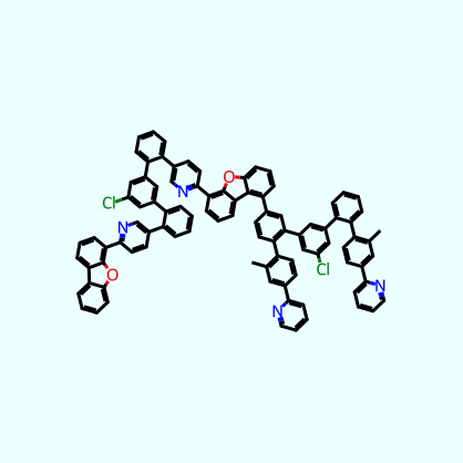 Cc1cc(-c2ccccn2)ccc1-c1ccccc1-c1cc(Cl)cc(-c2cc(-c3cccc4oc5c(-c6ccc(-c7ccccc7-c7cc(Cl)cc(-c8ccccc8-c8ccc(-c9cccc%10c9oc9ccccc9%10)nc8)c7)cn6)cccc5c34)ccc2-c2ccc(-c3ccccn3)cc2C)c1